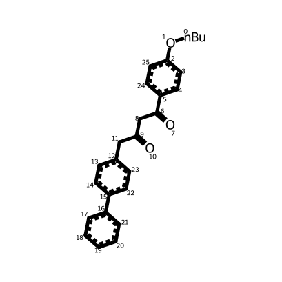 CCCCOc1ccc(C(=O)CC(=O)Cc2ccc(-c3ccccc3)cc2)cc1